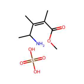 COC(=O)C(C)=C(C)C(C)N.O=S(=O)(O)O